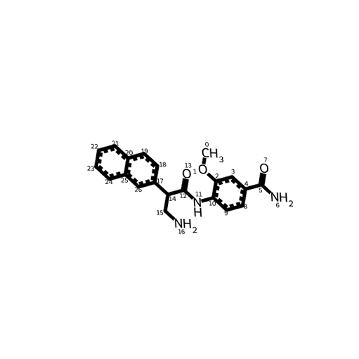 COc1cc(C(N)=O)ccc1NC(=O)C(CN)c1ccc2ccccc2c1